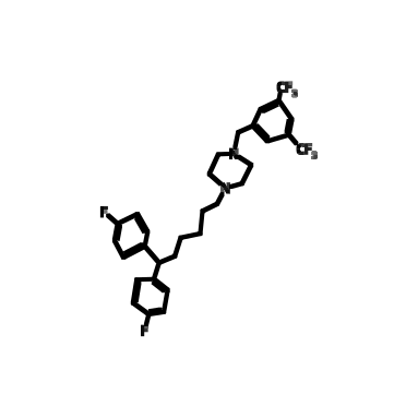 Fc1ccc(C(CCCCCN2CCN(Cc3cc(C(F)(F)F)cc(C(F)(F)F)c3)CC2)c2ccc(F)cc2)cc1